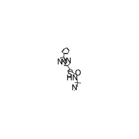 CN(C)CC(C)(C)CNC(=O)c1cc(-c2cnc3c(-c4ccccc4)cnn3c2)cs1